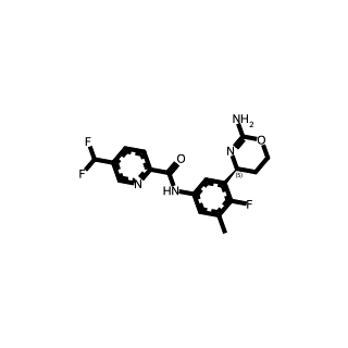 Cc1cc(NC(=O)c2ccc(C(F)F)cn2)cc([C@@H]2CCOC(N)=N2)c1F